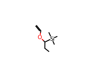 C=COC(CC)[Si](C)(C)C